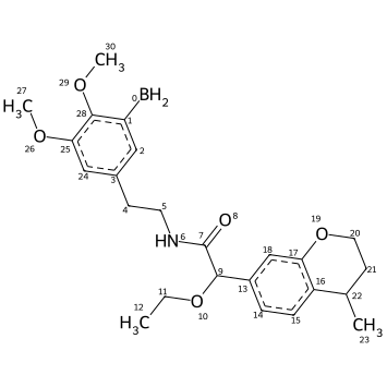 Bc1cc(CCNC(=O)C(OCC)c2ccc3c(c2)OCCC3C)cc(OC)c1OC